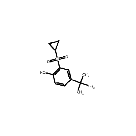 CC(C)(C)c1ccc(O)c(S(=O)(=O)C2CC2)c1